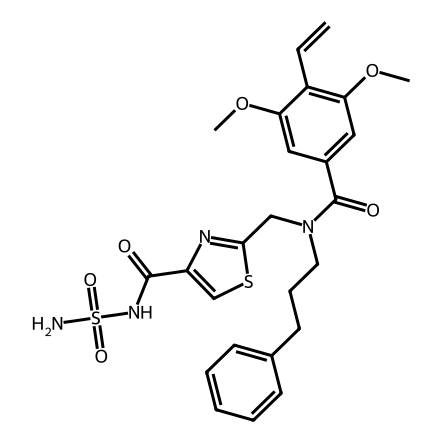 C=Cc1c(OC)cc(C(=O)N(CCCc2ccccc2)Cc2nc(C(=O)NS(N)(=O)=O)cs2)cc1OC